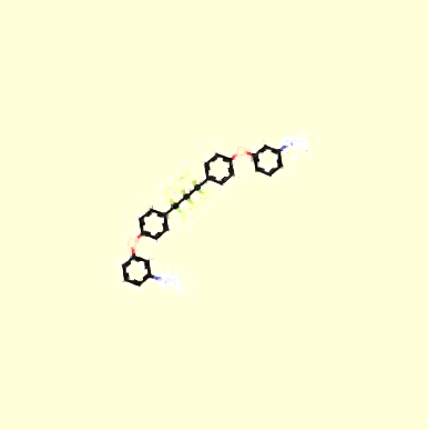 Nc1cccc(Oc2ccc(C(F)(F)C(F)(F)C(F)(F)c3ccc(Oc4cccc(N)c4)cc3)cc2)c1